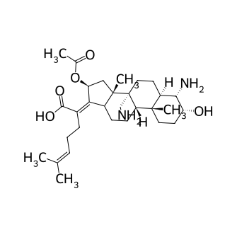 CC(=O)O[C@H]1C[C@@]2(C)C(CC[C@H]3[C@@]4(C)CC[C@@H](O)[C@@H](N)[C@@H]4CC[C@@]32CN)/C1=C(\CCC=C(C)C)C(=O)O